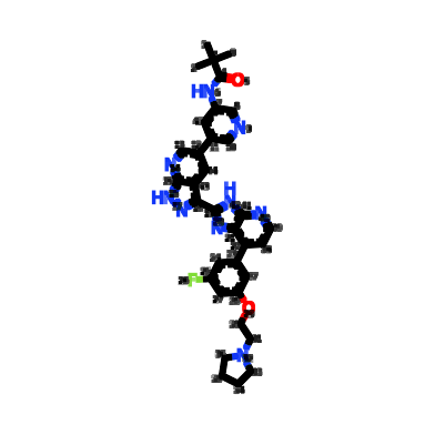 CC(C)(C)C(=O)Nc1cncc(-c2cnc3[nH]nc(-c4nc5c(-c6cc(F)cc(OCCN7CCCC7)c6)ccnc5[nH]4)c3c2)c1